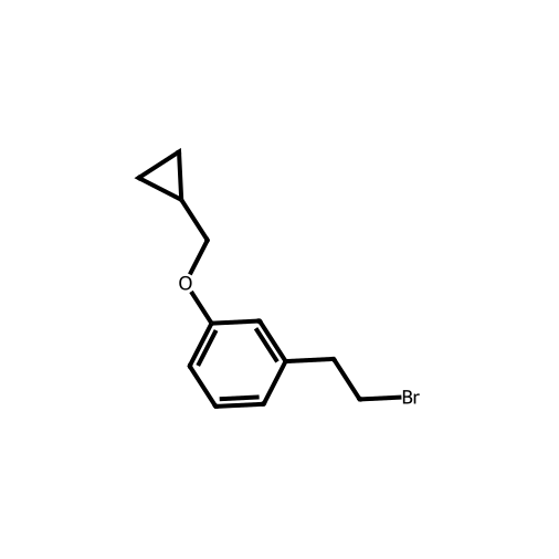 BrCCc1cccc(OCC2CC2)c1